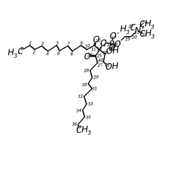 CCCCCCCCCCCC(=O)C(OP(=O)([O-])OCC[N+](C)(C)C)(C(=O)CCCCCCCCCCC)[C@@H](O)CO